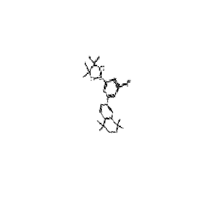 CC1(C)CCC(C)(C)c2cc(-c3cc(F)cc(B4OC(C)(C)C(C)(C)O4)c3)ccc21